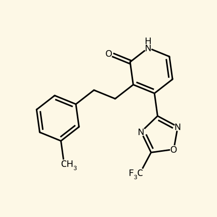 Cc1cccc(CCc2c(-c3noc(C(F)(F)F)n3)cc[nH]c2=O)c1